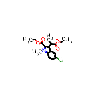 C=C(C(=O)OCC)c1c(C(=O)OCC)n(C)c2ccc(Cl)cc12